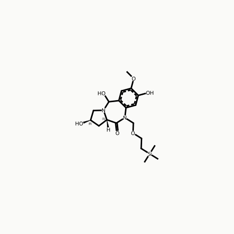 COc1cc2c(cc1O)N(COCC[Si](C)(C)C)C(=O)[C@@H]1C[C@@H](O)CN1C2O